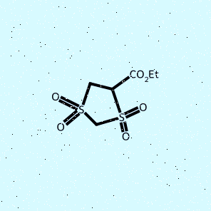 CCOC(=O)C1CS(=O)(=O)CS1(=O)=O